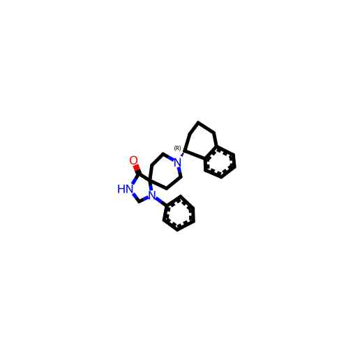 O=C1NCN(c2ccccc2)C12CCN([C@@H]1CCCc3ccccc31)CC2